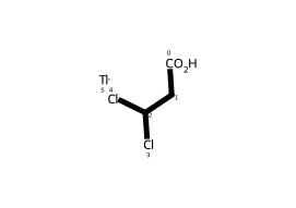 O=C(O)CC(Cl)Cl.[Tl]